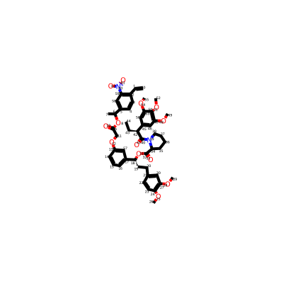 C=Cc1ccc(C(C)OC(=O)COc2cccc([C@@H](CCc3ccc(OC)c(OC)c3)OC(=O)C3CCCCN3C(=O)[C@@H](CC)c3cc(OC)c(OC)c(OC)c3)c2)cc1[N+](=O)[O-]